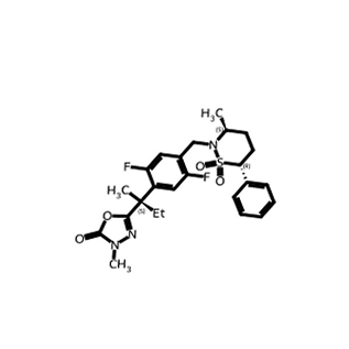 CC[C@](C)(c1nn(C)c(=O)o1)c1cc(F)c(CN2[C@@H](C)CC[C@H](c3ccccc3)S2(=O)=O)cc1F